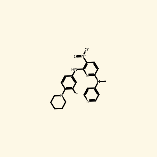 CN(c1ccncc1)c1ccc([N+](=O)[O-])c(Nc2ccc(N3CCCCC3)c(F)c2)n1